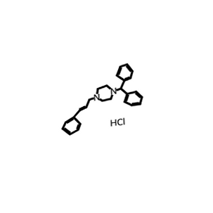 C(=Cc1ccccc1)CN1CCN(C(c2ccccc2)c2ccccc2)CC1.Cl